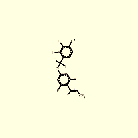 CCCc1ccc(C(F)(F)Oc2cc(F)c(/C(F)=C/C(F)(F)F)c(F)c2)c(F)c1F